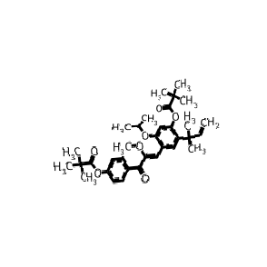 C=CC(C)(C)c1cc(C=C(OC)C(=O)c2ccc(OC(=O)C(C)(C)C)cc2)c(OC(C)C)cc1OC(=O)C(C)(C)C